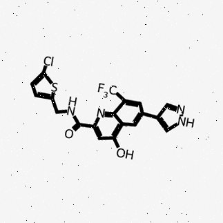 O=C(NCc1ccc(Cl)s1)c1cc(O)c2cc(-c3cn[nH]c3)cc(C(F)(F)F)c2n1